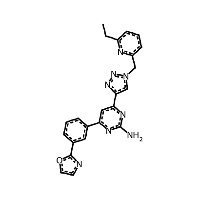 CCc1cccc(Cn2cc(-c3cc(-c4cccc(-c5ncco5)c4)nc(N)n3)nn2)n1